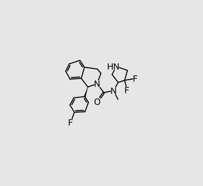 CN(C(=O)N1CCc2ccccc2[C@@H]1c1ccc(F)cc1)C1CNCC1(F)F